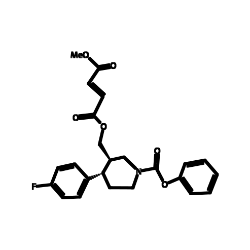 COC(=O)C=CC(=O)OC[C@H]1CN(C(=O)Oc2ccccc2)CC[C@@H]1c1ccc(F)cc1